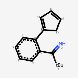 CC(C)(C)C(=N)c1ccccc1C1=CC=CC1